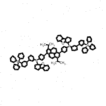 CC(C)c1cc(-c2ccc(N(c3cccc(-c4cccc([Si](c5ccccc5)(c5ccccc5)c5ccccc5)c4)c3)c3cccc4c3oc3ccccc34)cc2)c2ccc3c(C(C)C)cc(-c4ccc(N(c5cccc(-c6cccc([Si](c7ccccc7)(c7ccccc7)c7ccccc7)c6)c5)c5cccc6c5oc5ccccc56)cc4)c4ccc1c2c43